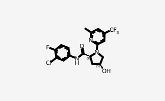 Cc1cc(C(F)(F)F)cc(N2C[C@@H](O)C[C@H]2C(=O)Nc2ccc(F)c(Cl)c2)n1